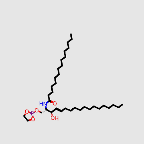 CCCCCCCCCCCCC/C=C/[C@@H](O)[C@H](COP1OCCO1)NC(=O)CCCCCCCCCCCCCCC